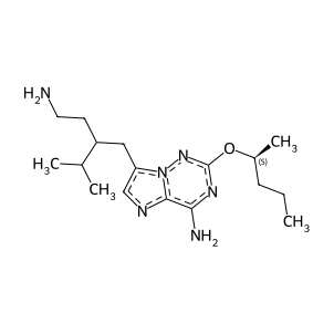 CCC[C@H](C)Oc1nc(N)c2ncc(CC(CCN)C(C)C)n2n1